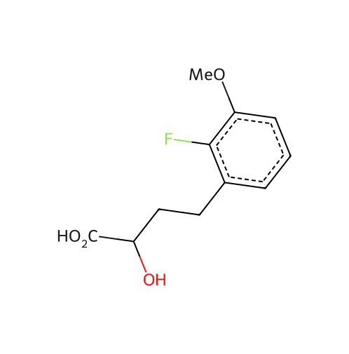 COc1cccc(CCC(O)C(=O)O)c1F